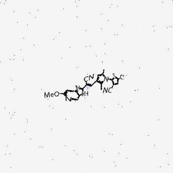 COc1cc2nc(/C(C#N)=C/c3cc(C)n(-c4sc(Cl)cc4C#N)c3C)[nH]c2cn1